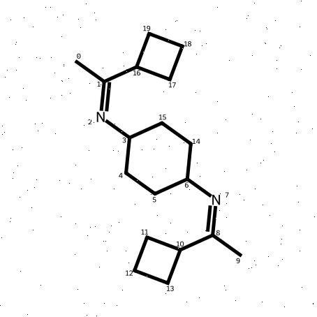 CC(=NC1CCC(N=C(C)C2CCC2)CC1)C1CCC1